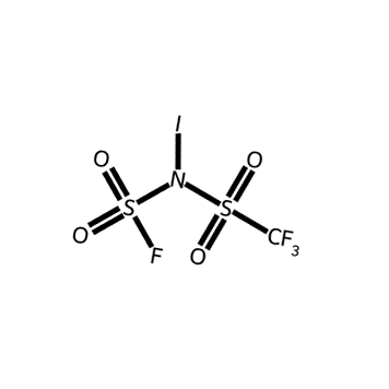 O=S(=O)(F)N(I)S(=O)(=O)C(F)(F)F